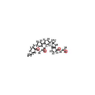 CC(C)c1ccc(Cc2ccc(-c3ccc(CC(C)(C)Cc4ccccc4OCC4CO4)cc3)cc2)c(OCC2CO2)c1